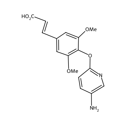 COc1cc(C=CC(=O)O)cc(OC)c1Oc1ccc(N)cn1